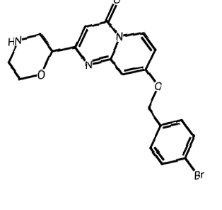 O=c1cc(C2CNCCO2)nc2cc(OCc3ccc(Br)cc3)ccn12